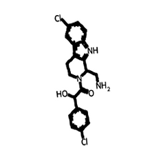 NCC1c2[nH]c3ccc(Cl)cc3c2CCN1C(=O)C(O)c1ccc(Cl)cc1